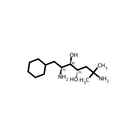 CC(C)(N)C[C@H](O)[C@H](O)[C@@H](N)CC1CCCCC1